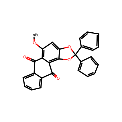 CCCCOc1cc2c(c3c1C(=O)c1ccccc1C3=O)OC(c1ccccc1)(c1ccccc1)O2